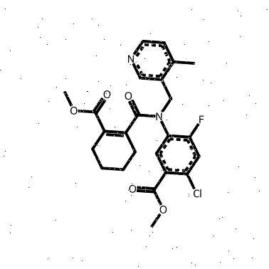 COC(=O)C1=C(C(=O)N(Cc2cnccc2C)c2cc(C(=O)OC)c(Cl)cc2F)CCCC1